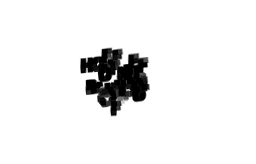 CN=S1(=O)C[C@@](C)(c2nc(Br)ccc2F)N=C(N)N1CC(F)(F)F.O=C(O)C(F)(F)F